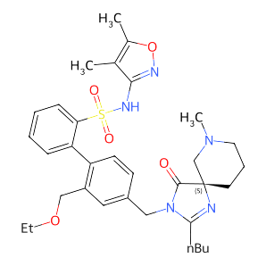 CCCCC1=N[C@]2(CCCN(C)C2)C(=O)N1Cc1ccc(-c2ccccc2S(=O)(=O)Nc2noc(C)c2C)c(COCC)c1